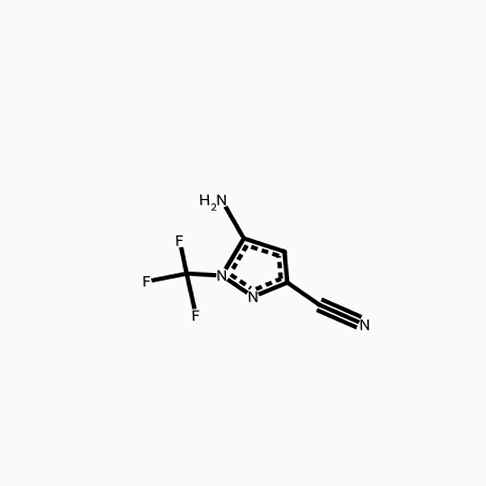 N#Cc1cc(N)n(C(F)(F)F)n1